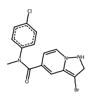 CN(C(=O)C1=CC2=C(Br)CNN2C=C1)c1ccc(Cl)cc1